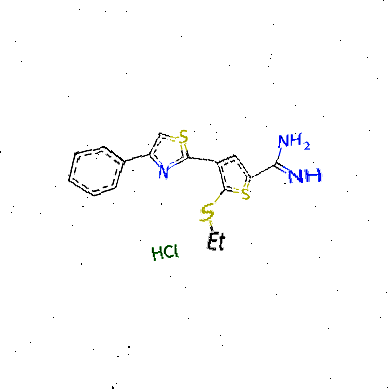 CCSc1sc(C(=N)N)cc1-c1nc(-c2ccccc2)cs1.Cl